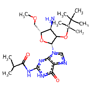 COC[C@H]1O[C@@H](n2cnc3c(=O)[nH]c(NC(=O)C(C)C)nc32)C(O[Si](C)(C)C(C)(C)C)[C@@H]1N